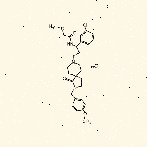 COCC(=O)NC(CCN1CCC2(CC1)CCN(Cc1ccc(OC)cc1)C2=O)c1cccc(Cl)c1.Cl